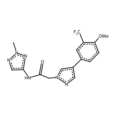 COc1ccc(-c2cnn(CC(=O)Nc3cnn(C)n3)c2)cc1C(F)(F)F